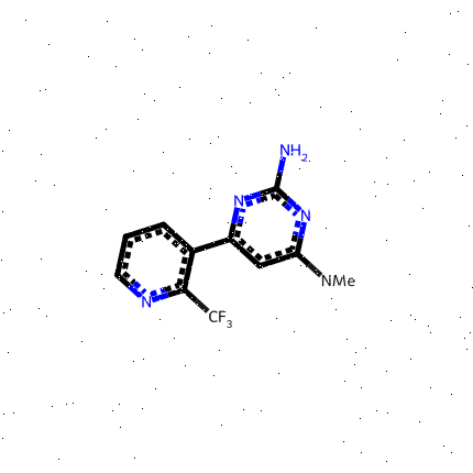 CNc1cc(-c2cccnc2C(F)(F)F)nc(N)n1